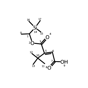 CC(OC(=O)C(=CC(=O)O)C(C)(C)C)[Si](C)(C)C